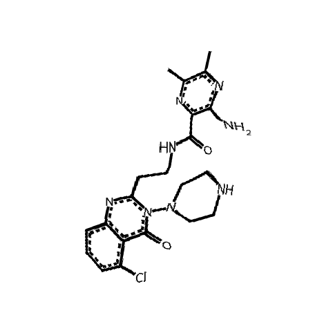 Cc1nc(N)c(C(=O)NCCc2nc3cccc(Cl)c3c(=O)n2N2CCNCC2)nc1C